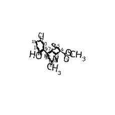 COC(=O)c1csc2c(-c3cc(Cl)ccc3O)cc(C)nc12